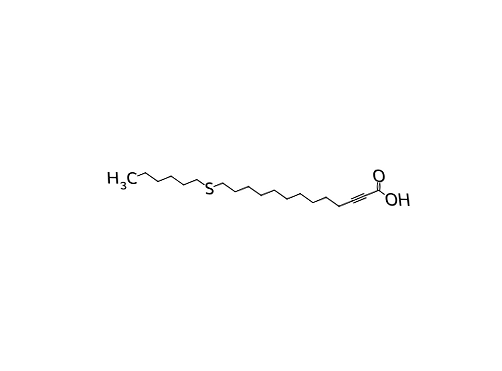 CCCCCCSCCCCCCCCCCC#CC(=O)O